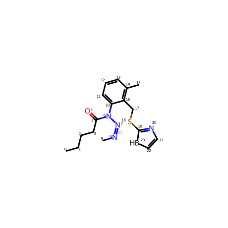 CCCCC(=O)N(/N=N\C)c1cccc(C)c1CSC1=NC=CB1